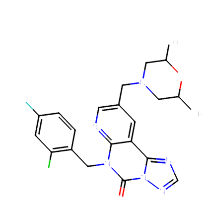 CC1CN(Cc2cnc3c(c2)c2ncnn2c(=O)n3Cc2ccc(F)cc2Cl)CC(C)O1